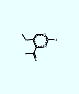 COc1cnc(Cl)nc1C(C)=O